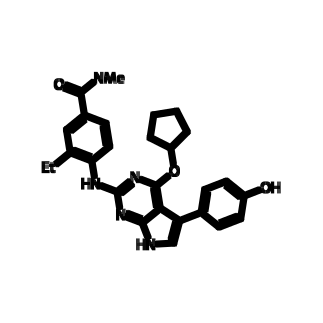 CCc1cc(C(=O)NC)ccc1Nc1nc(OC2CCCC2)c2c(-c3ccc(O)cc3)c[nH]c2n1